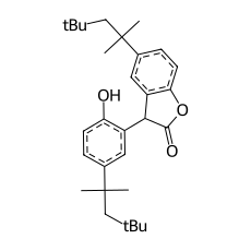 CC(C)(C)CC(C)(C)c1ccc(O)c(C2C(=O)Oc3ccc(C(C)(C)CC(C)(C)C)cc32)c1